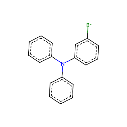 Brc1cccc(N(c2ccccc2)c2ccccc2)c1